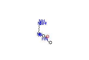 Nc1nc(CCCCCc2cn(-c3ccc(C(=O)NCCc4ccccc4)cc3)nn2)c[nH]1